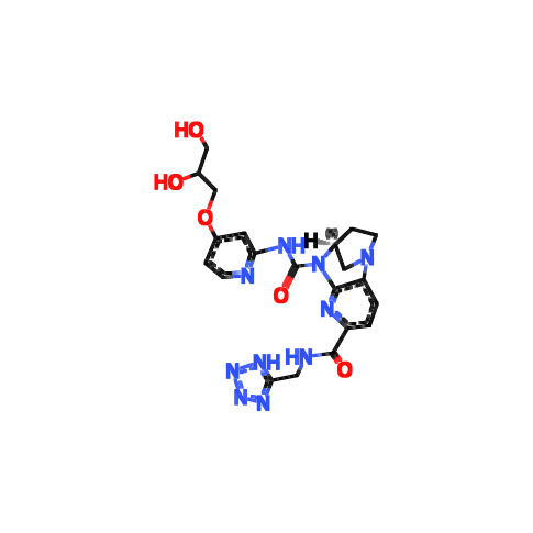 O=C(NCc1nnn[nH]1)c1ccc2c(n1)N(C(=O)Nc1cc(OCC(O)CO)ccn1)[C@H]1CCN2C1